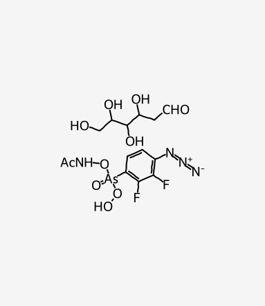 CC(=O)NO[As](=O)(OO)c1ccc(N=[N+]=[N-])c(F)c1F.O=CCC(O)C(O)C(O)CO